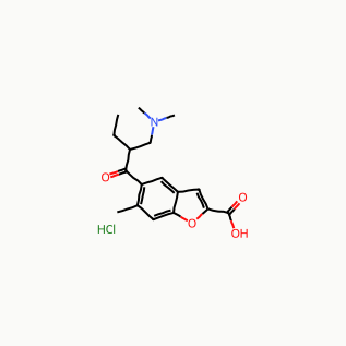 CCC(CN(C)C)C(=O)c1cc2cc(C(=O)O)oc2cc1C.Cl